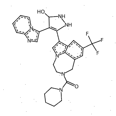 O=C(N1CCCCC1)N1CCn2cc(C3=C(c4cnc5ccccn45)C(O)NN3)c3cc(C(F)(F)F)cc(c32)C1